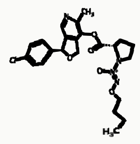 CCCCO/N=[N+](\[O-])N1CCC[C@H]1C(=O)Oc1c(C)ncc2c1CO[C@H]2c1ccc(Cl)cc1